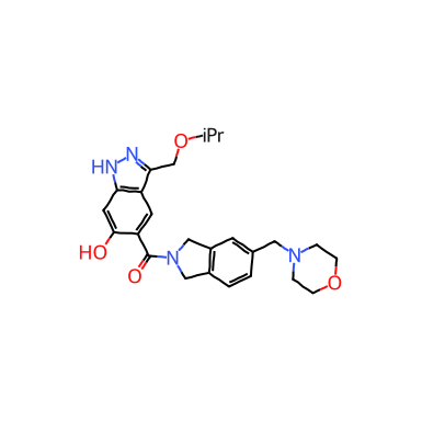 CC(C)OCc1n[nH]c2cc(O)c(C(=O)N3Cc4ccc(CN5CCOCC5)cc4C3)cc12